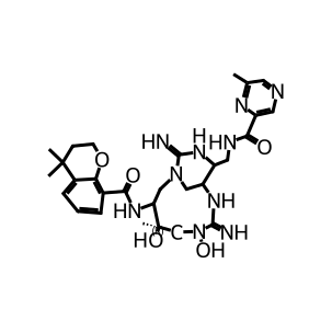 Cc1cncc(C(=O)NCC2NC(=N)N3CC2NC(=N)N(O)C[C@@](C)(O)C(NC(=O)c2cccc4c2OCCC4(C)C)C3)n1